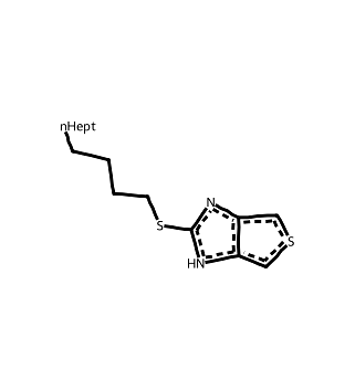 CCCCCCCCCCCSc1nc2cscc2[nH]1